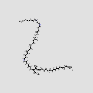 CCCCC/C=C\C/C=C\CCCCCCCC(=O)CCCCCCCC/C=C\CCCCCCC([C]=O)C(=O)CCCCCCCCCCCCCCC